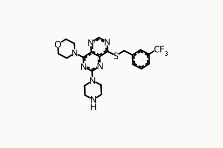 FC(F)(F)c1cccc(CSc2ncnc3c(N4CCOCC4)nc(N4CCNCC4)nc23)c1